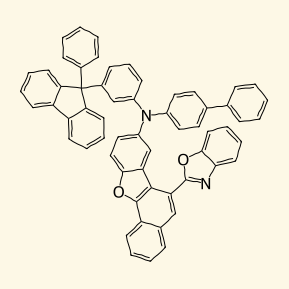 c1ccc(-c2ccc(N(c3cccc(C4(c5ccccc5)c5ccccc5-c5ccccc54)c3)c3ccc4oc5c6ccccc6cc(-c6nc7ccccc7o6)c5c4c3)cc2)cc1